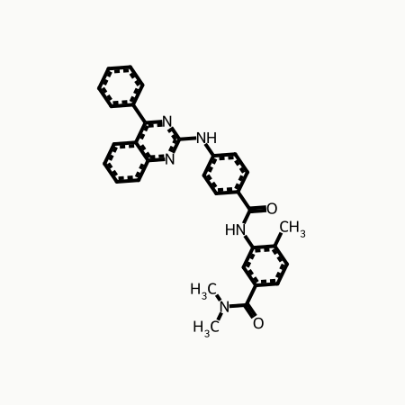 Cc1ccc(C(=O)N(C)C)cc1NC(=O)c1ccc(Nc2nc(-c3ccccc3)c3ccccc3n2)cc1